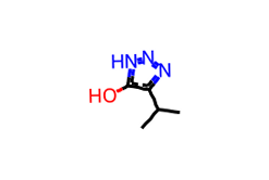 CC(C)c1nn[nH]c1O